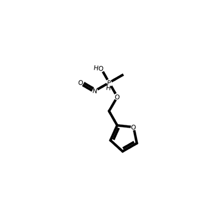 C[PH](O)(N=O)OCc1ccco1